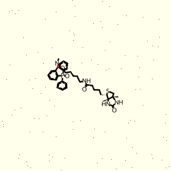 C/N=C(\OCCCCCNC(=O)CCCC[C@@H]1SC[C@]2(C)NC(=O)N[C@]12C)c1ccccc1P(=O)(c1ccccc1)c1ccccc1